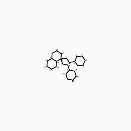 C1CCC(CCC2(CCC3CCCCC3)CCCC3CCCCC32)CC1